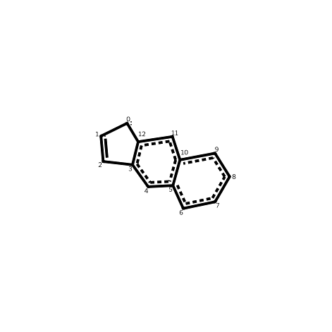 [C]1[C]=Cc2cc3ccccc3cc21